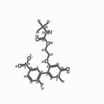 Cn1cc(-c2cc([N+](=O)[O-])ccc2F)c(OCCOC(=O)NC(C)(C)C)cc1=O